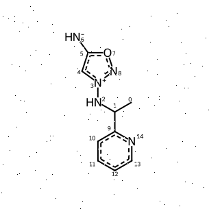 CC(N[n+]1cc([NH-])on1)c1ccccn1